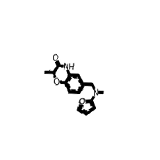 CC1Oc2ccc(CN(C)c3ccco3)cc2NC1=O